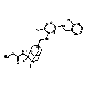 CC(C)(C)OC(=O)N[C@@H]1[C@@H]2CC3C[C@H]1C[C@@](CNc1nc(NCc4ccccc4Br)ncc1C#N)(C3)C2